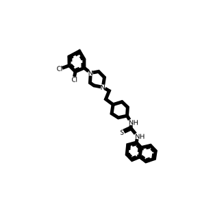 S=C(Nc1cccc2ccccc12)NC1CCC(CCN2CCN(c3cccc(Cl)c3Cl)CC2)CC1